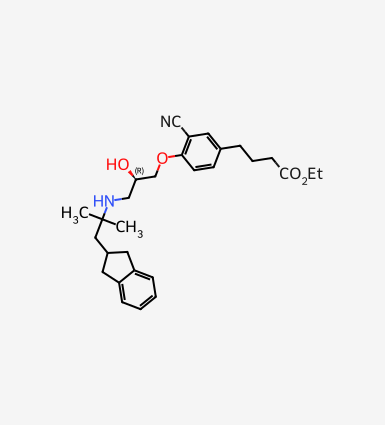 CCOC(=O)CCCc1ccc(OC[C@H](O)CNC(C)(C)CC2Cc3ccccc3C2)c(C#N)c1